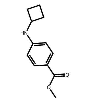 COC(=O)c1ccc(NC2CCC2)cc1